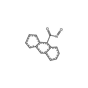 O=NC(=O)c1c2ccccc2cc2ccccc12